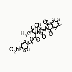 CC(C)=C(C(=O)OCc1ccc([N+](=O)[O-])cc1)N1C(=O)[C@H](N2C(=O)c3ccccc3C2=O)[C@H]1Cl